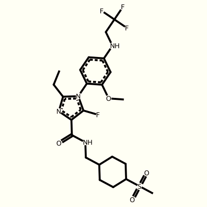 CCc1nc(C(=O)NCC2CCC(S(C)(=O)=O)CC2)c(F)n1-c1ccc(NCC(F)(F)F)cc1OC